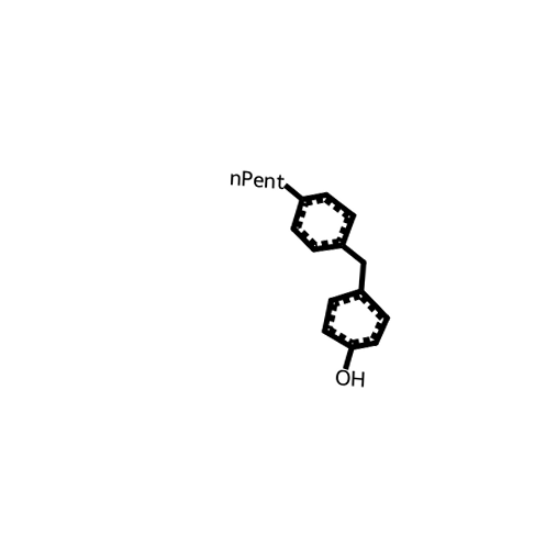 CCCCCc1ccc(Cc2ccc(O)cc2)cc1